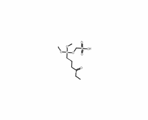 CCC(=O)CCC[Si](OC)(OC)OCS(=O)(=O)O